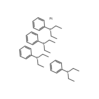 CCP(CC)c1ccccc1.CCP(CC)c1ccccc1.CCP(CC)c1ccccc1.CCP(CC)c1ccccc1.[Pt]